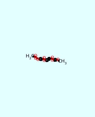 C=CC(=O)OCOc1ccc(C(=O)Oc2ccc3cc(C(=O)Oc4ccc(OCC)cc4)ccc3c2)cc1